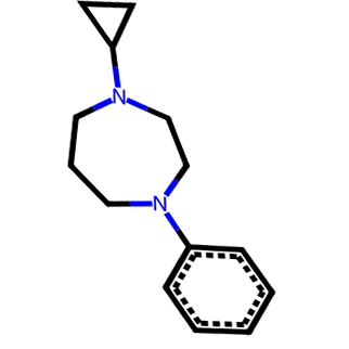 c1ccc(N2CCCN(C3CC3)CC2)cc1